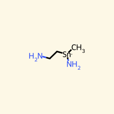 [CH3][Sn]([NH2])[CH2]CN